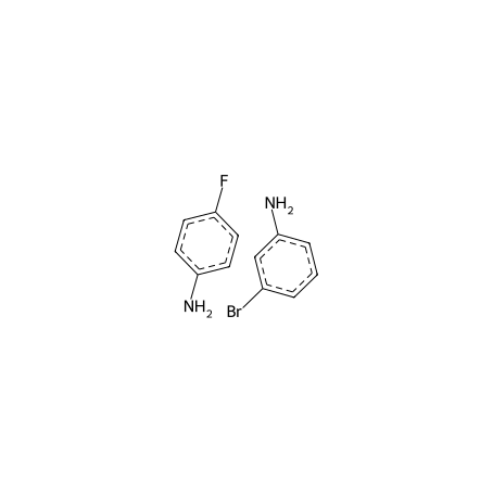 Nc1ccc(F)cc1.Nc1cccc(Br)c1